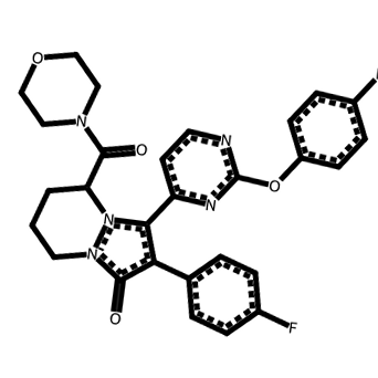 O=C(C1CCCn2c(=O)c(-c3ccc(F)cc3)c(-c3ccnc(Oc4ccc(F)cc4)n3)n21)N1CCOCC1